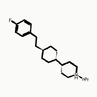 CCC[Si@H]1CC[C@H]([C@H]2CC[C@H](CCc3ccc(F)cc3)CC2)CC1